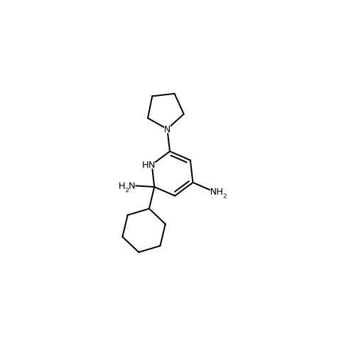 NC1=CC(N)(C2CCCCC2)NC(N2CCCC2)=C1